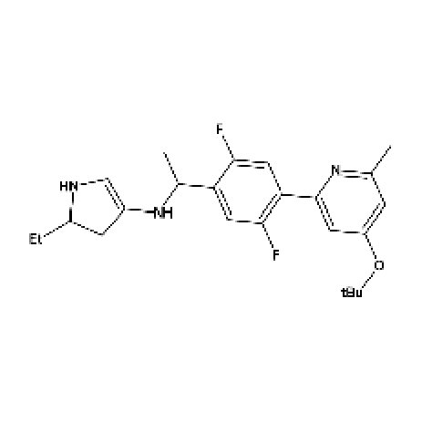 CCC1CC(NC(C)c2cc(F)c(-c3cc(OC(C)(C)C)cc(C)n3)cc2F)=CN1